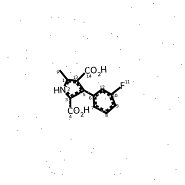 Cc1[nH]c(C(=O)O)c(-c2cccc(F)c2)c1C(=O)O